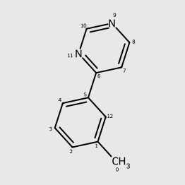 Cc1cccc(-c2ccncn2)c1